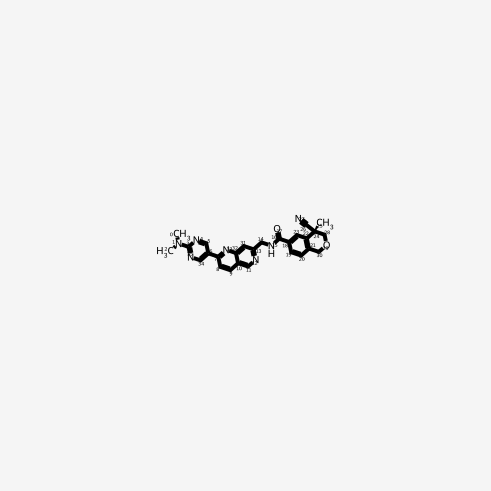 CN(C)c1ncc(-c2ccc3cnc(CNC(=O)c4ccc5c(c4)[C@](C)(C#N)COC5)cc3n2)cn1